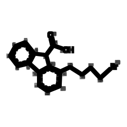 O=C(O)C1c2ccccc2-c2cccc(CCCCBr)c21